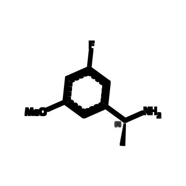 COc1cc(F)cc([C@@H](C)N)c1